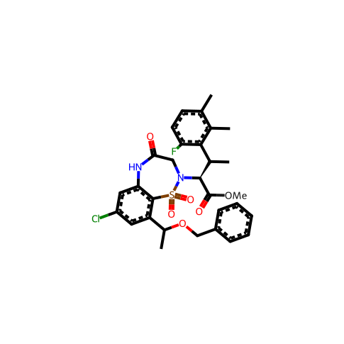 COC(=O)[C@H](C(C)c1c(F)ccc(C)c1C)N1CC(=O)Nc2cc(Cl)cc(C(C)OCc3ccccc3)c2S1(=O)=O